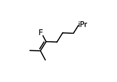 CC(C)=C(F)CCCC(C)C